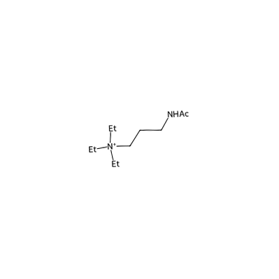 [CH2]C(=O)NCCC[N+](CC)(CC)CC